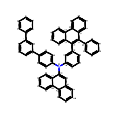 c1ccc(-c2cccc(-c3ccc(N(c4cccc(-c5c(-c6ccccc6)c6ccccc6c6ccccc56)c4)c4cc5ccccc5c5ccccc45)cc3)c2)cc1